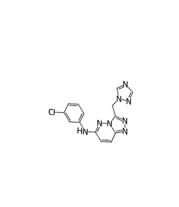 Clc1cccc(Nc2ccc3nnc(Cn4cncn4)n3n2)c1